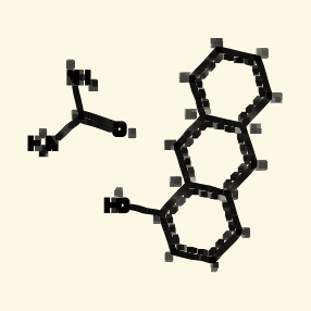 NC(N)=O.Oc1cccc2cc3ccccc3cc12